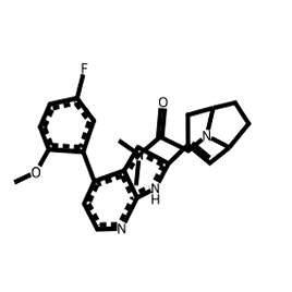 COc1ccc(F)cc1-c1ccnc2[nH]c(C3=CC4CCC(C3)N4CC(=O)N(C)C)cc12